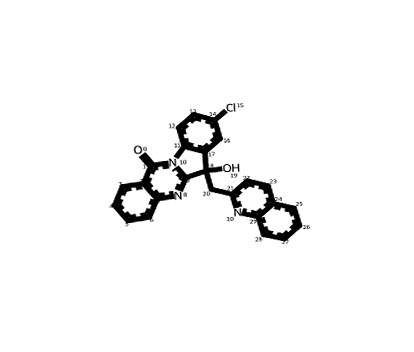 O=c1c2ccccc2nc2n1-c1ccc(Cl)cc1C2(O)Cc1ccc2ccccc2n1